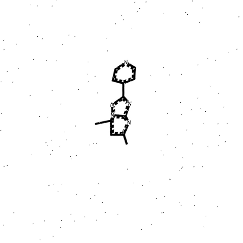 Cc1cc(C)n2nc(-c3ccncc3)nc2n1